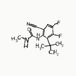 CNC(=O)Nc1c(C#N)cc(F)c(F)c1C(C)(C)C